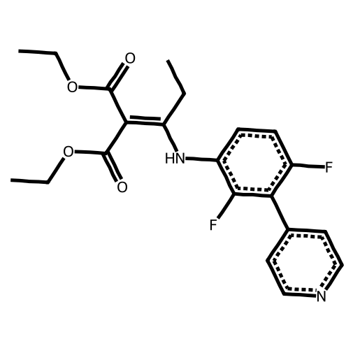 CCOC(=O)C(C(=O)OCC)=C(CC)Nc1ccc(F)c(-c2ccncc2)c1F